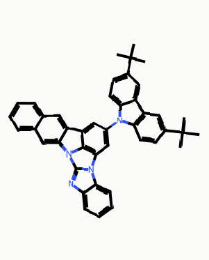 CC(C)(C)c1ccc2c(c1)c1cc(C(C)(C)C)ccc1n2-c1cc2c3cc4ccccc4cc3n3c2c(c1)n1c2ccccc2nc13